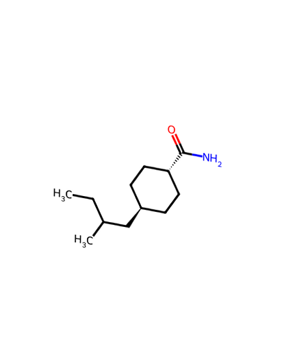 CCC(C)C[C@H]1CC[C@H](C(N)=O)CC1